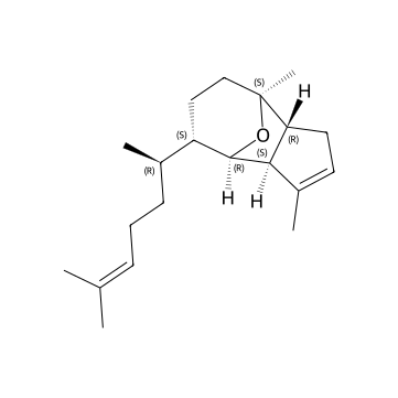 CC(C)=CCC[C@@H](C)[C@@H]1CC[C@]2(C)O[C@H]1[C@@H]1C(C)=CC[C@H]12